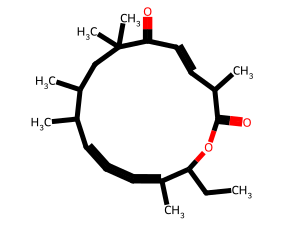 CCC1OC(=O)C(C)/C=C/C(=O)C(C)(C)CC(C)C(C)C=C=C=C1C